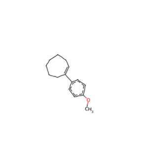 COc1ccc(C2=CCCCCCC2)cc1